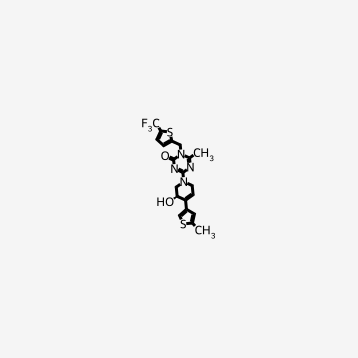 Cc1cc(C2=CCN(c3nc(C)n(Cc4ccc(C(F)(F)F)s4)c(=O)n3)C[C@@H]2O)cs1